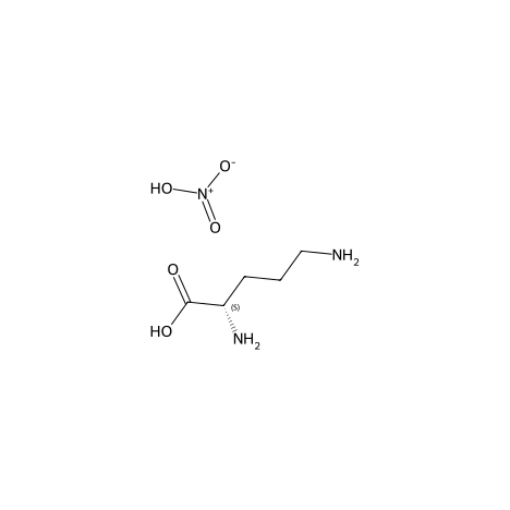 NCCC[C@H](N)C(=O)O.O=[N+]([O-])O